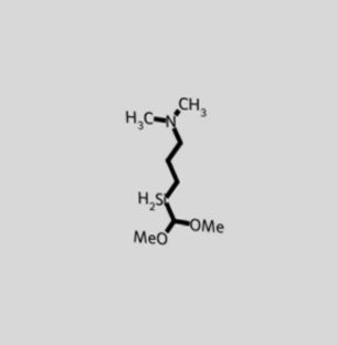 COC(OC)[SiH2]CCCN(C)C